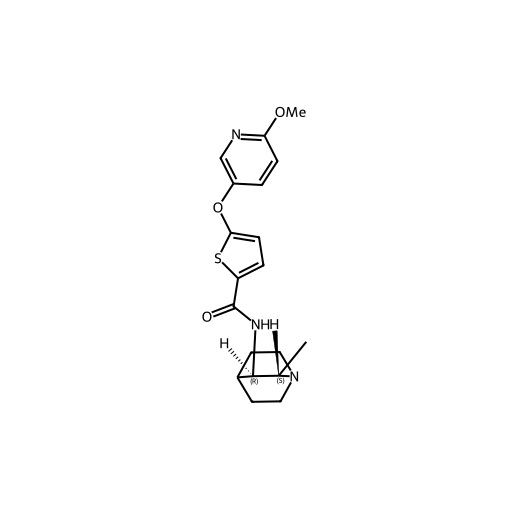 COc1ccc(Oc2ccc(C(=O)N[C@@H]3C4CCN(CC4)[C@H]3C)s2)cn1